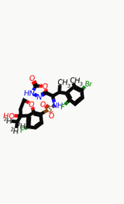 [2H]C([2H])([2H])C1(O)CCOc2c(S(=O)(=O)NC(c3n[nH]c(=O)o3)C(C)c3c(F)ccc(Br)c3C)ccc(F)c21